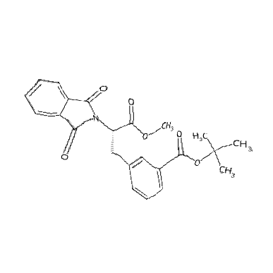 COC(=O)[C@H](Cc1cccc(C(=O)OC(C)(C)C)c1)N1C(=O)c2ccccc2C1=O